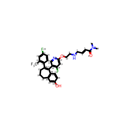 CN(C)C(=O)/C=C/CNCCOc1cc(F)c(C2=C(c3ccc(F)cc3C(F)(F)F)CCCc3cc(O)ccc32)cn1